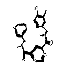 Cc1cc(CNC(=O)c2cc(C(=O)N(C)Cc3cccnc3)ncn2)ccc1F